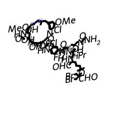 COc1cc2cc(c1Cl)N(C)C(=O)C[C@H](OC(=O)Nc1cc(F)c(NC(=O)[C@H](CCCNC(N)=O)NC(=O)[C@@H](NC(C=O)CCCC(C)(C)OC(C=O)(CBr)CBr)C(C)C)cc1Cl)[C@@H](C)[C@@H](O)[C@H](C)[C@@H]1C[C@@](O)(NC(=O)O1)[C@H](OC)/C=C/C=C(\C)C2